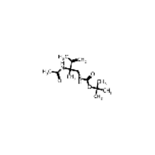 C=C(C)C(C)(CNC(=O)OC(C)(C)C)NC(C)=O